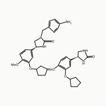 COc1ccc([C@H]2CN(Cc3ccc(N)cc3)C(=O)N2)cc1OC1CCCC1.COc1ccc([C@H]2CNC(=O)N2)cc1OC1CCCC1